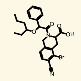 CCCC(CC)OC(C(=O)N1Cc2ccc(C#N)c(Br)c2CC1C(=O)O)c1ccccc1